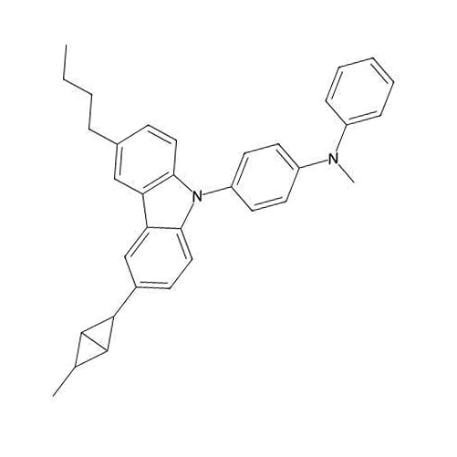 CCCCc1ccc2c(c1)c1cc(C3C4C(C)C34)ccc1n2-c1ccc(N(C)c2ccccc2)cc1